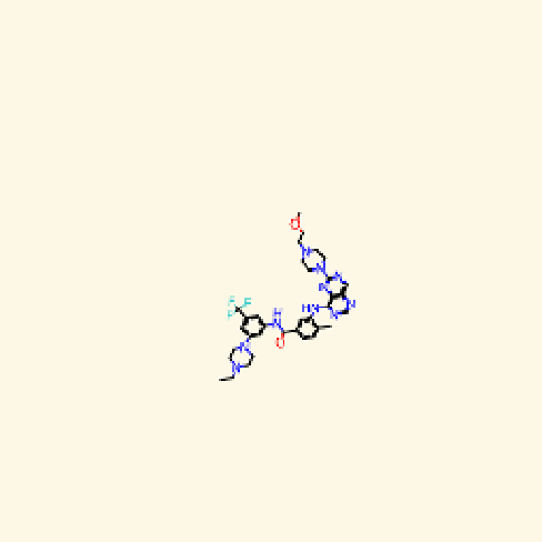 CCN1CCN(c2cc(NC(=O)c3ccc(C)c(Nc4ncnc5cnc(N6CCN(CCOC)CC6)nc45)c3)cc(C(F)(F)F)c2)CC1